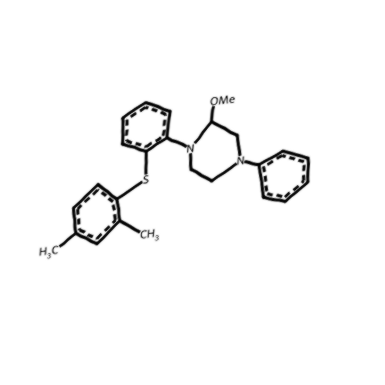 COC1CN(c2ccccc2)CCN1c1ccccc1Sc1ccc(C)cc1C